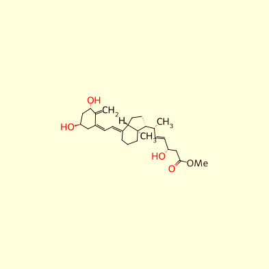 C=C1/C(=C\C=C2/CCC[C@]3(C)[C@@H]([C@H](C)/C=C/[C@@H](O)CC(=O)OC)CC[C@@H]23)C[C@@H](O)C[C@@H]1O